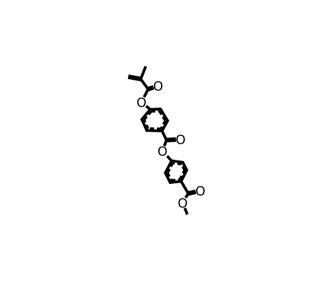 C=C(C)C(=O)Oc1ccc(C(=O)Oc2ccc(C(=O)OC)cc2)cc1